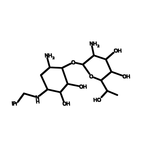 CC(C)CNC1CC(N)C(OC2OC(C(C)O)C(O)C(O)C2N)C(O)C1O